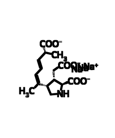 C/C(=C/C=C/[C@@H](C)C(=O)[O-])[C@H]1CN[C@H](C(=O)[O-])[C@H]1CC(=O)[O-].[Na+].[Na+].[Na+]